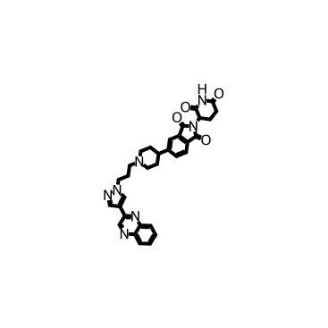 O=C1CCC(N2C(=O)c3ccc(C4CCN(CCCn5cc(-c6cnc7ccccc7n6)cn5)CC4)cc3C2=O)C(=O)N1